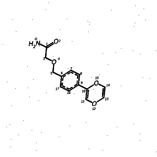 NC(=O)COCc1ccc(C2=COC=CO2)cc1